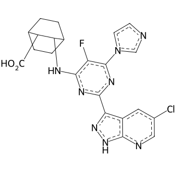 O=C(O)C1C2CCC(CC2)C1Nc1nc(-c2n[nH]c3ncc(Cl)cc23)nc(-n2ccnc2)c1F